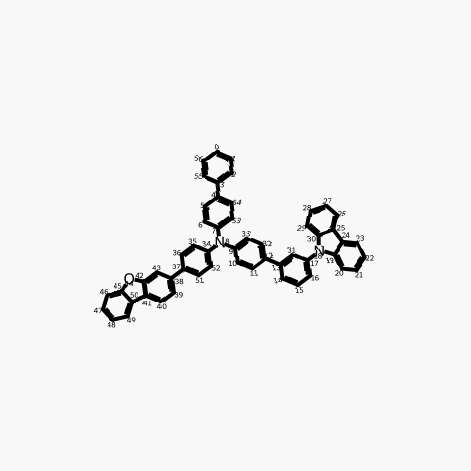 c1ccc(-c2ccc(N(c3ccc(-c4cccc(-n5c6ccccc6c6ccccc65)c4)cc3)c3ccc(-c4ccc5c(c4)oc4ccccc45)cc3)cc2)cc1